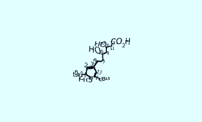 CC(C)(C)c1cc(CCC(O)CC(O)CC(=O)O)cc(C(C)(C)C)c1O